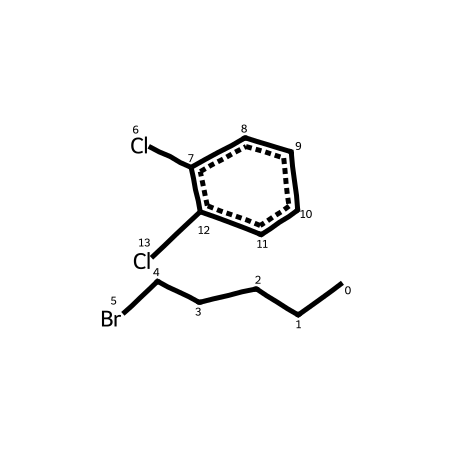 CCCCCBr.Clc1ccccc1Cl